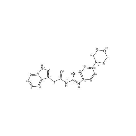 O=C(Cc1c[nH]c2ccccc12)Nc1nc2ccc(N3CCOCC3)cc2s1